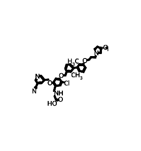 Cc1c(COc2cc(OCc3cncc(C#N)c3)c(CNCC(=O)O)cc2Cl)cccc1-c1cccc(OCCCN2CC[C@@H](OI)C2)c1C